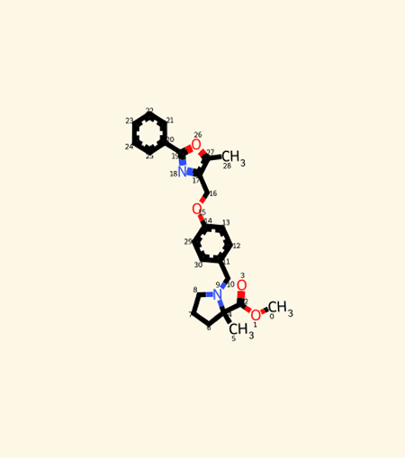 COC(=O)C1(C)CCCN1Cc1ccc(OCc2nc(-c3ccccc3)oc2C)cc1